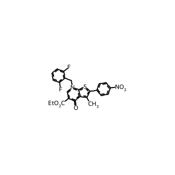 CCOC(=O)c1cn(Cc2c(F)cccc2F)c2sc(-c3ccc([N+](=O)[O-])cc3)c(C)c2c1=O